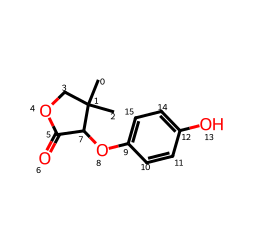 CC1(C)COC(=O)C1Oc1ccc(O)cc1